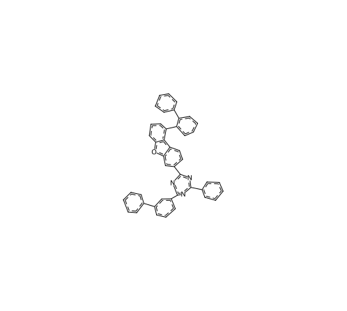 c1ccc(-c2cccc(-c3nc(-c4ccccc4)nc(-c4ccc5c(c4)oc4cccc(-c6ccccc6-c6ccccc6)c45)n3)c2)cc1